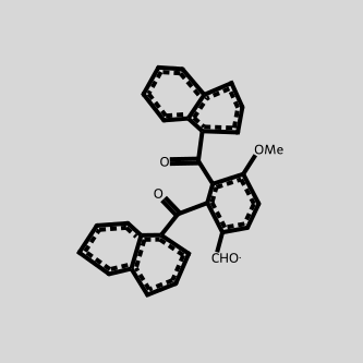 COc1ccc([C]=O)c(C(=O)c2cccc3ccccc23)c1C(=O)c1cccc2ccccc12